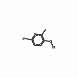 CCOc1ccc(C(C)C)nc1C